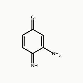 N=C1C=CC(=O)C=C1N